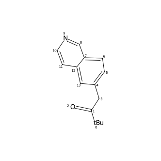 CC(C)(C)C(=O)Cc1ccc2cnccc2c1